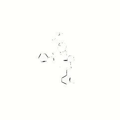 CC(C)N(C)[C@@H]1CC[C@H](N2CCC(C[C@H](O)c3cccc(C(F)(F)F)c3)C2=O)[C@H](CS(=O)(=O)c2ccccc2)C1